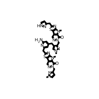 Cn1ccc(Cn2ncc3c4sc(Cc5cc(Cc6cn(C)nc6Cn6ncc7c8sc(Cc9cc[nH]n9)nc8n(C)c7c6=O)cc(N)n5)nc4n(C)c3c2=O)n1